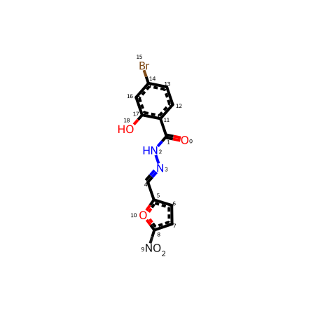 O=C(N/N=C/c1ccc([N+](=O)[O-])o1)c1ccc(Br)cc1O